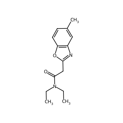 CCN(CC)C(=O)Cc1nc2cc(C)ccc2o1